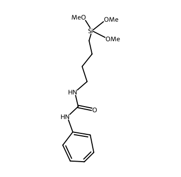 CO[Si](CCCCNC(=O)Nc1ccccc1)(OC)OC